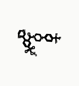 CS(=O)(=O)c1ccc(-c2cnccn2)c(C(=O)N2CCN(c3ccc(C(F)(F)F)cc3)CC2)c1